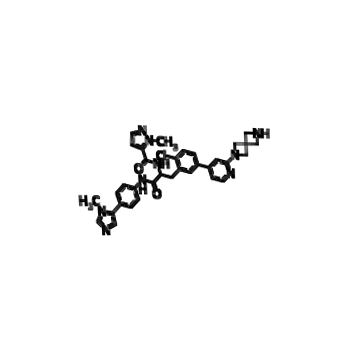 Cn1cncc1-c1ccc(NC(=O)C(Cc2cc(-c3ccnc(N4CC5(CNC5)C4)c3)ccc2Cl)NC(=O)c2ccnn2C)cc1